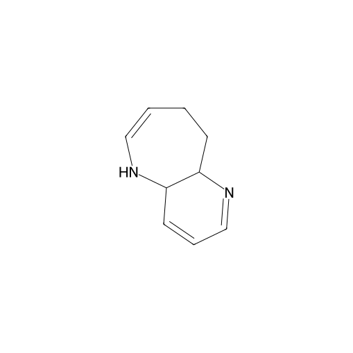 C1=CC2NC=CCCC2N=C1